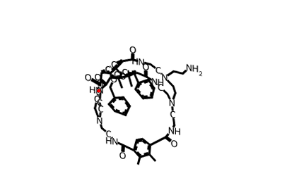 Cc1c2ccc(c1C)C(=O)NCCN1CCNC(=O)c3ccc(c(C)c3C)C(=O)NCCN(CCNC2=O)CCNC(=O)c2ccc(c(OCc3ccccc3)c2OCc2ccccc2)C(=O)NCCN(CCN)CC1